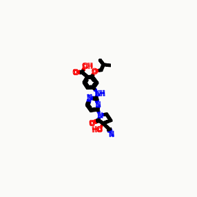 CC(C)COc1cc(Nc2nccc(N3CC[C@](O)(C#N)C3=O)n2)ccc1C(=O)O